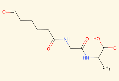 CC(NC(=O)CNC(=O)CCCCC=O)C(=O)O